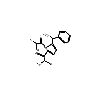 CC(Br)C(=O)C1=CC=C(C(C(=O)O)c2ccccc2)[SH]1C(=O)C(C)Br